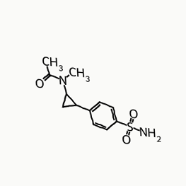 CC(=O)N(C)C1CC1c1ccc(S(N)(=O)=O)cc1